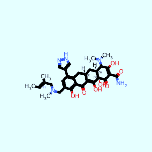 C/C=C(\C)CN(C)Cc1cc(-c2cn[nH]c2)c2c(c1O)C(=O)C1=C(O)[C@]3(O)C(=O)C(C(N)=O)=C(O)C(N(C)C)[C@@H]3C[C@@H]1C2